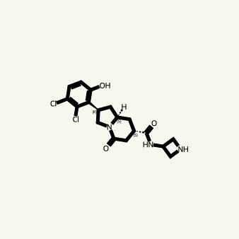 O=C(NC1CNC1)[C@@H]1CC(=O)N2C[C@@H](c3c(O)ccc(Cl)c3Cl)C[C@H]2C1